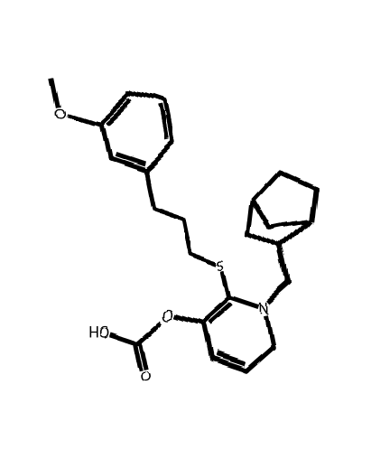 COc1cccc(CCCSC2=C(OC(=O)O)C=CCN2CC2CC3CCC2C3)c1